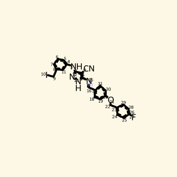 N#Cc1c(Nc2cccc(CI)c2)n[nH]c1/N=C/c1ccc(OCc2ccc(F)cc2)cc1